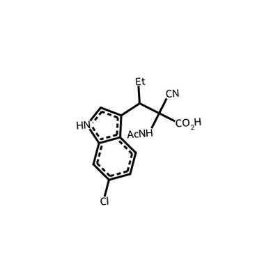 CCC(c1c[nH]c2cc(Cl)ccc12)C(C#N)(NC(C)=O)C(=O)O